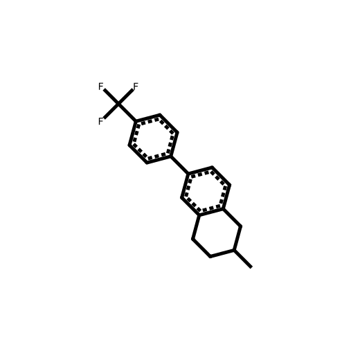 CC1CCc2cc(-c3ccc(C(F)(F)F)cc3)ccc2C1